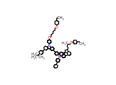 C=CC1=CC=C(OCC(C)CCC2CC3(c4ccccc4)c4cc(N(c5ccc(C6=CC=CCC6)cc5)c5ccc(-c6ccc7c(c6)c6c(n7-c7ccc(OCCCCCCOC8CC=C(C=C)CC8)cc7)=CCC(C7=CCC(C(C)(C)C)C=C7)C=6)cc5)ccc4C4C=CC=C2C43)CC1